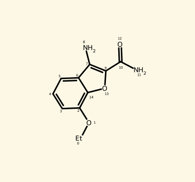 CCOc1cccc2c(N)c(C(N)=O)oc12